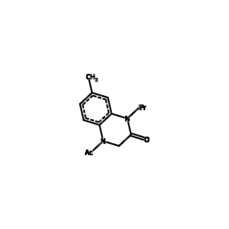 CC(=O)N1CC(=O)N(C(C)C)c2cc(C)ccc21